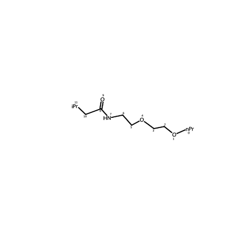 CCCOCCOCCNC(=O)CC(C)C